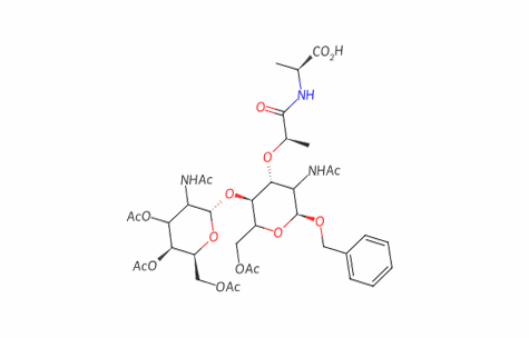 CC(=O)NC1C(OC(C)=O)[C@H](OC(C)=O)[C@H](COC(C)=O)O[C@H]1O[C@@H]1C(COC(C)=O)O[C@H](OCc2ccccc2)C(NC(C)=O)[C@H]1O[C@H](C)C(=O)N[C@@H](C)C(=O)O